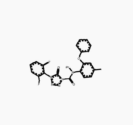 Cc1ccc(N(C(=O)n2nnn(-c3c(F)cccc3F)c2=O)C(C)C)c(Oc2ccccc2)c1